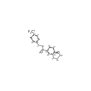 O=C(CCc1ccc(C(F)(F)F)cc1)c1ccc2c(c1)CCCO2